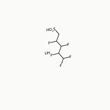 O=S(=O)(O)CC(F)C(F)C(F)C(F)F.[LiH]